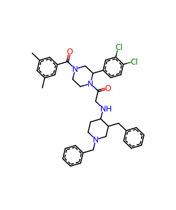 Cc1cc(C)cc(C(=O)N2CCN(C(=O)CNC3CCN(Cc4ccccc4)CC3Cc3ccccc3)C(c3ccc(Cl)c(Cl)c3)C2)c1